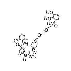 Cc1nc(Nc2ncc(C(=O)Nc3c(C)cccc3Cl)s2)cc(N2CCN(CCOCCOCCNC(=O)c3cccc(O)c3O)CC2)n1